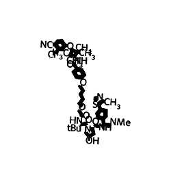 CNCC(NC(=O)[C@@H]1C[C@@H](O)CN1C(=O)[C@@H](NC(=O)COCCCCCOc1ccc(C(=O)N[C@H]2C(C)(C)[C@H](Oc3ccc(C#N)c(Cl)c3)C2(C)C)cc1)C(C)(C)C)c1ccc(-c2scnc2C)cc1